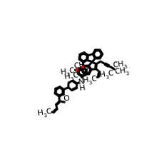 C/C=C\C=C1/COc2c1cccc2C1C=CC(Nc2ccc(-c3cccc4c3C3(C(CC#CC(C)(C)C)=C(/C=C\C)c5ccc(C(C)(C)C)cc53)c3ccccc3-4)cc2)=CC1